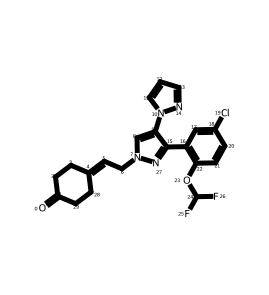 O=C1CCC(=CCn2cc(-n3cccn3)c(-c3cc(Cl)ccc3OC(F)F)n2)CC1